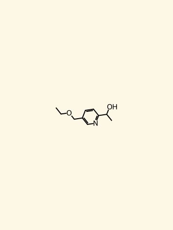 CCOCc1ccc(C(C)O)nc1